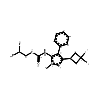 Cn1nc(C2CC(F)(F)C2)c(-c2ccccc2)c1NC(=O)OCC(F)F